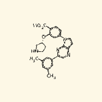 Cc1cc(C)cc(-c2cnc3ccn(-c4ccc(C(=O)O)c(O[C@@H]5CCNC5)c4)c3n2)c1